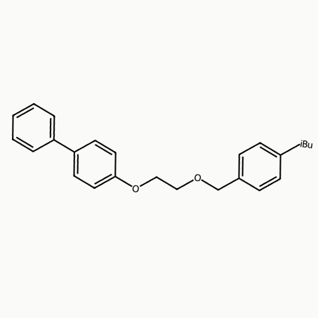 CCC(C)c1ccc(COCCOc2ccc(-c3ccccc3)cc2)cc1